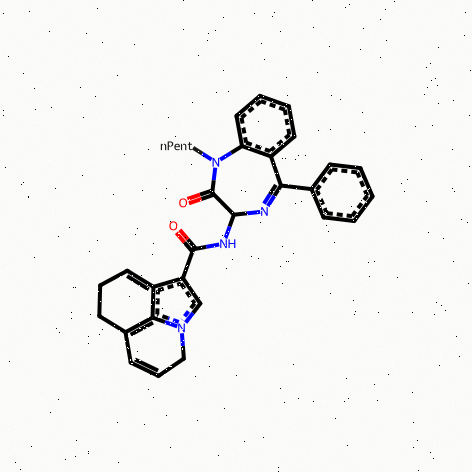 CCCCCN1C(=O)C(NC(=O)c2cn3c4c2=CCCC=4C=CC3)N=C(c2ccccc2)c2ccccc21